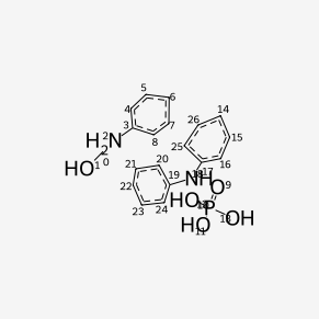 CO.Nc1ccccc1.O=P(O)(O)O.c1ccc(Nc2ccccc2)cc1